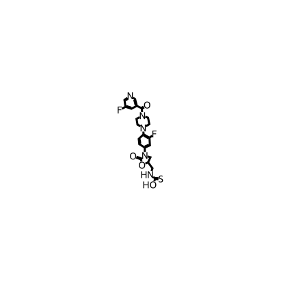 O=C(c1cncc(F)c1)N1CCN(c2ccc(N3CC(CNC(O)=S)OC3=O)cc2F)CC1